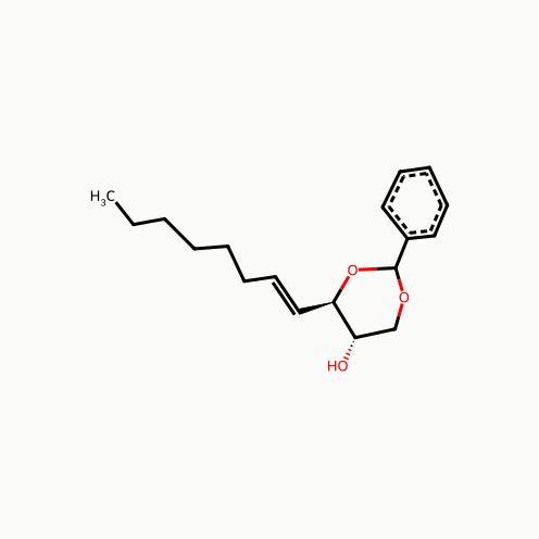 CCCCCC/C=C/[C@H]1OC(c2ccccc2)OC[C@@H]1O